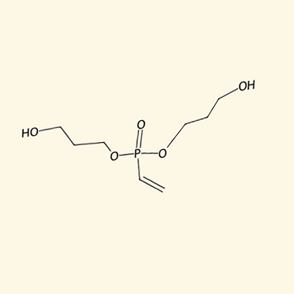 C=CP(=O)(OCCCO)OCCCO